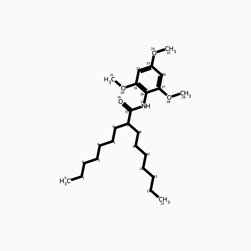 CCCCCCCC(CCCCCCC)C(=O)Nc1c(OC)cc(OC)cc1OC